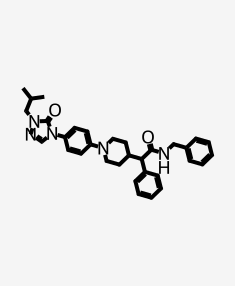 CC(C)Cn1ncn(-c2ccc(N3CCC(C(C(=O)NCc4ccccc4)c4ccccc4)CC3)cc2)c1=O